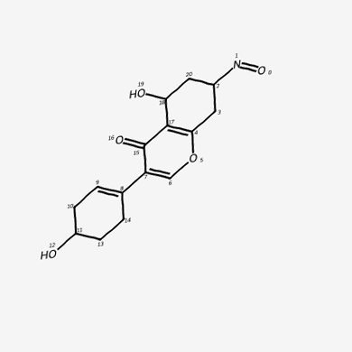 O=NC1Cc2occ(C3=CCC(O)CC3)c(=O)c2C(O)C1